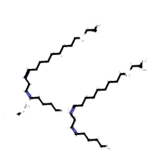 CCCCC/C=C\C/C=C\CCCCCCCCSCC(=O)[O-].CCCCC/C=C\C/C=C\CCCCCCCCSCC(=O)[O-].[CH3][Sn+2][CH3]